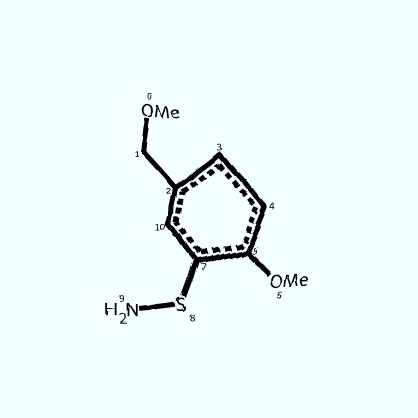 COCc1ccc(OC)c(SN)c1